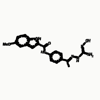 COc1ccc2[nH]c(C(=O)Nc3ccc(C(C)=NNC(N)=NO)cc3)cc2c1